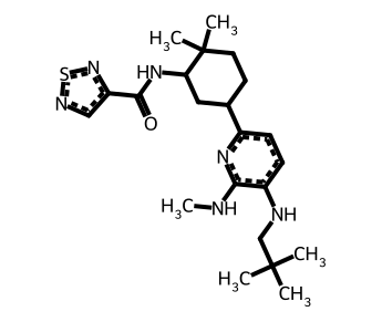 CNc1nc(C2CCC(C)(C)C(NC(=O)c3cnsn3)C2)ccc1NCC(C)(C)C